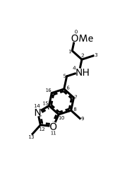 COCC(C)NCc1cc(C)c2oc(C)nc2c1